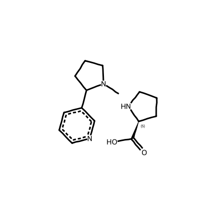 CN1CCCC1c1cccnc1.O=C(O)[C@@H]1CCCN1